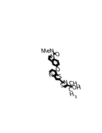 CNC(=O)n1ccc2cc(Oc3ccnc4cc(-c5nc(C(C)(C)O)cs5)sc34)ccc21